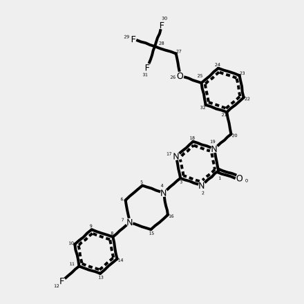 O=c1nc(N2CCN(c3ccc(F)cc3)CC2)ncn1Cc1cccc(OCC(F)(F)F)c1